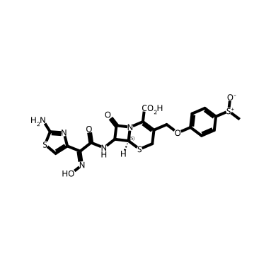 C[S+]([O-])c1ccc(OCC2=C(C(=O)O)N3C(=O)C(NC(=O)C(=NO)c4csc(N)n4)[C@@H]3SC2)cc1